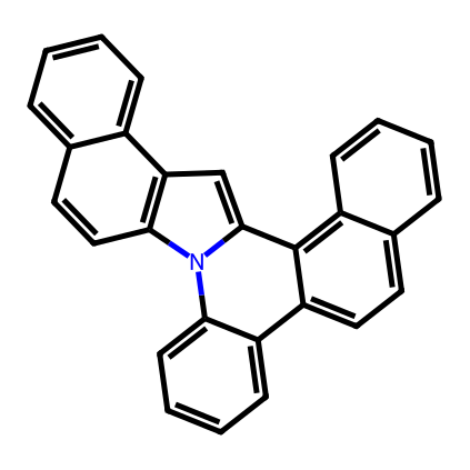 c1ccc2c(c1)ccc1c2cc2c3c4ccccc4ccc3c3ccccc3n12